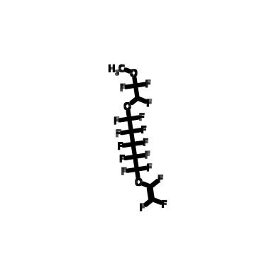 COC(F)(F)C(F)OC(F)(F)C(F)(F)C(F)(F)C(F)(F)C(F)(F)OC(F)=C(F)F